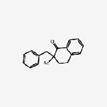 CC(=O)C1(Cc2ccccc2)CCc2ccccc2C1=O